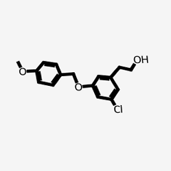 COc1ccc(COc2cc(Cl)cc(CCO)c2)cc1